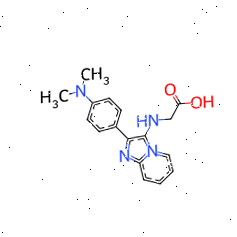 CN(C)c1ccc(-c2nc3ccccn3c2NCC(=O)O)cc1